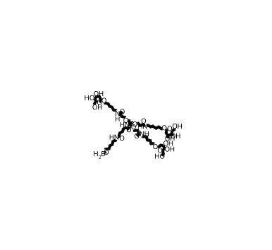 BOCCCCCCNC(=O)CCCC(=O)NC(COCCC(=O)NCCCCCCOC1CC(O)C(O)C(CO)O1)(COCCC(=O)NCCCCCCOC1CC(O)C(O)C(CO)O1)COCCC(=O)NCCCCCCOC1CC(O)C(O)C(CO)O1